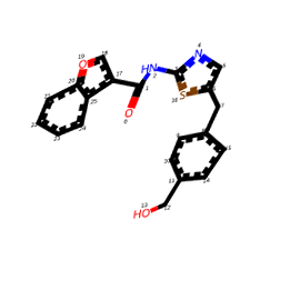 O=C(Nc1ncc(Cc2ccc(CO)cc2)s1)c1coc2ccccc12